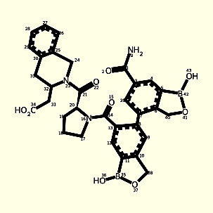 NC(=O)c1cc2c(c(-c3cc4c(cc3C(=O)N3CCC[C@H]3C(=O)N3Cc5ccccc5CC3CC(=O)O)B(O)OC4)c1)COB2O